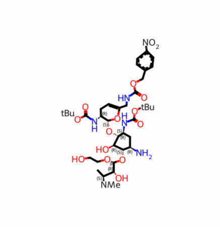 CN[C@@H](C)[C@@H](O)[C@H](OCCO)O[C@@H]1[C@@H](O)[C@H](O[C@H]2OC(CNC(=O)OCc3ccc([N+](=O)[O-])cc3)=CC[C@H]2NC(=O)OC(C)(C)C)[C@@H](NC(=O)OC(C)(C)C)C[C@H]1N